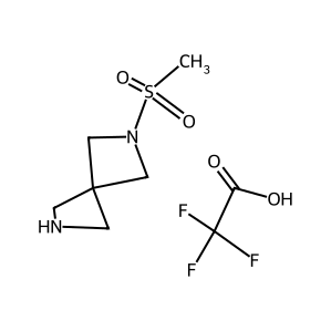 CS(=O)(=O)N1CC2(CNC2)C1.O=C(O)C(F)(F)F